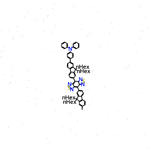 CCCCCCC1(CCCCCC)c2cc(C)ccc2-c2ccc(-c3c4c(c(-c5ccc6c(c5)C(CCCCCC)(CCCCCC)c5cc(-c7ccc(N(c8ccccc8)c8ccccc8)cc7)ccc5-6)c5nsnc35)N=S=N4)cc21